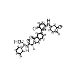 CC1=CC=CC([C@@H](CO)NC(=O)[C@@H](C)N2Cc3ccc(-c4nc(NC5CCN(C)C(=O)C5)ncc4Cl)cc3C2=O)C1